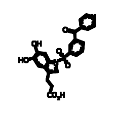 O=C(O)CCc1cn(S(=O)(=O)c2cccc(C(=O)c3ccncc3)c2)c2cc(O)c(O)cc12